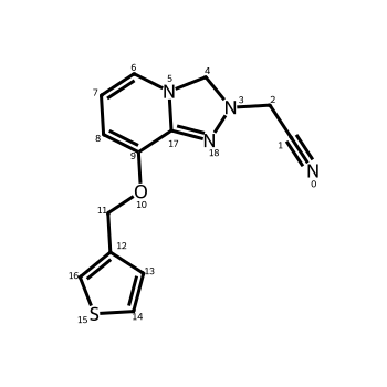 N#CCN1CN2C=CC=C(OCc3ccsc3)C2=N1